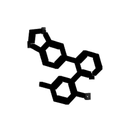 Cc1ccc(Cl)c(-c2ncccc2-c2ccc3ncsc3c2)c1